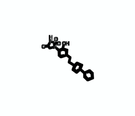 O=C1CN(c2ccc(CCc3ccc(-c4ccccc4)cc3)cc2O)S(=O)(=O)N1